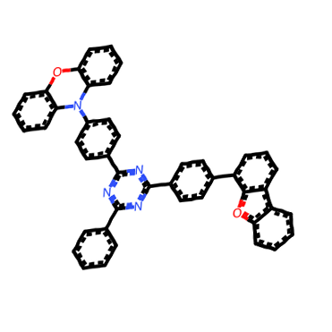 c1ccc(-c2nc(-c3ccc(-c4cccc5c4oc4ccccc45)cc3)nc(-c3ccc(N4c5ccccc5Oc5ccccc54)cc3)n2)cc1